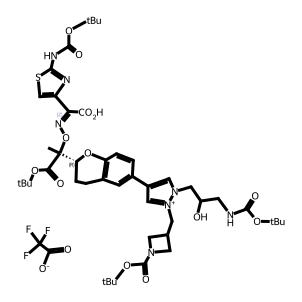 CC(C)(C)OC(=O)NCC(O)Cn1cc(-c2ccc3c(c2)CC[C@H](C(C)(O/N=C(\C(=O)O)c2csc(NC(=O)OC(C)(C)C)n2)C(=O)OC(C)(C)C)O3)c[n+]1CC1CN(C(=O)OC(C)(C)C)C1.O=C([O-])C(F)(F)F